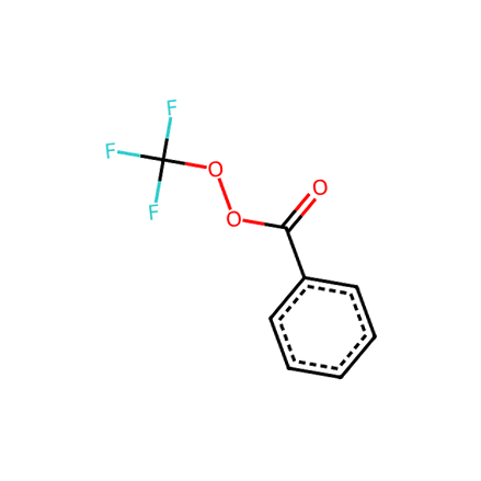 O=C(OOC(F)(F)F)c1ccccc1